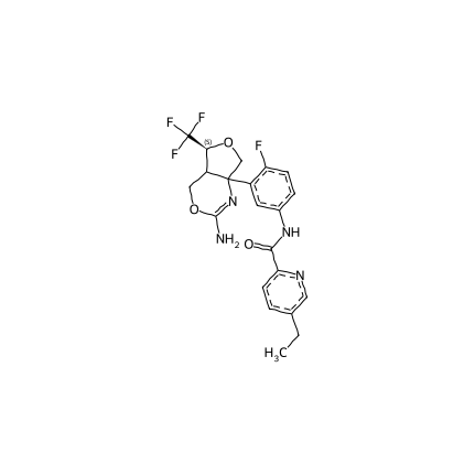 CCc1ccc(C(=O)Nc2ccc(F)c(C34CO[C@H](C(F)(F)F)C3COC(N)=N4)c2)nc1